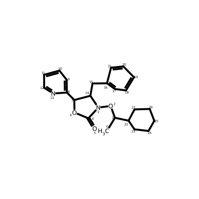 CC(ON1C(=O)OC(c2ccccn2)C1Cc1ccccc1)C1CCCCC1